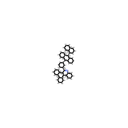 c1cc(-c2c3ccccc3c(-c3cccc4ccccc34)c3ccccc23)cc(-c2nc3ccccc3c3c4ccccc4c4ccccc4c23)c1